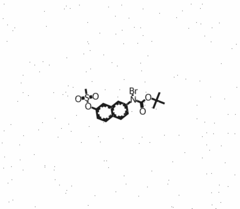 CC(C)(C)OC(=O)N(Br)c1ccc2ccc(OS(C)(=O)=O)cc2c1